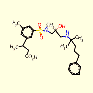 CC(CC(=O)O)c1cc(C(F)(F)F)cc(S(=O)(=O)N(C)C[C@H](O)CNC(C)(C)CCCc2ccccc2)c1